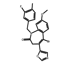 COc1ccc2c(c1)N(Cc1ccc(C)c(F)c1)C(=O)CC(c1cnco1)=C2Br